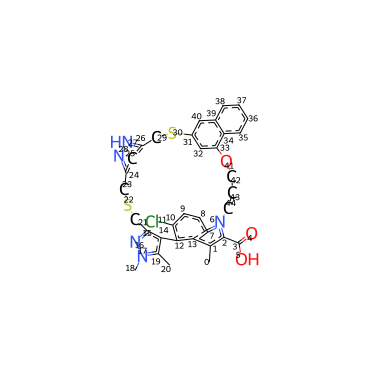 Cc1c(C(=O)O)n2c3ccc(Cl)c(c13)-c1c(nn(C)c1C)CSCc1cc([nH]n1)CSc1cc(c3ccccc3c1)OCCC2